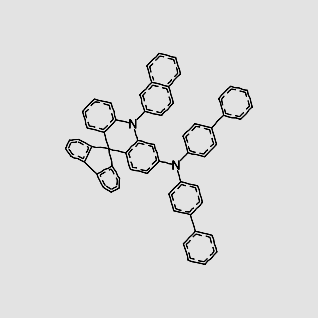 c1ccc(-c2ccc(N(c3ccc(-c4ccccc4)cc3)c3ccc4c(c3)N(c3ccc5ccccc5c3)c3ccccc3C43c4ccccc4-c4ccccc43)cc2)cc1